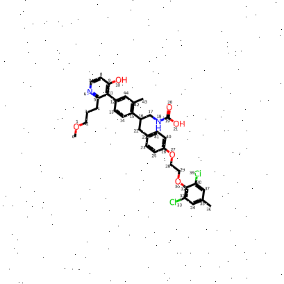 COCCCc1nccc(O)c1-c1ccc(C(CNC(=O)O)Cc2ccc(OCCOc3c(Cl)cc(C)cc3Cl)cc2)c(C)c1